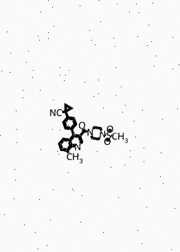 Cc1cccc2c(-c3ccc(C4(C#N)CC4)cc3)c(C(=O)N3CCN(S(C)(=O)=O)CC3)cnc12